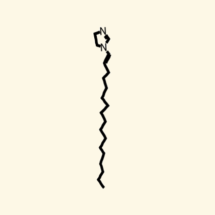 CCCCCCCCCCCCCCCC=CN1C=NCC1